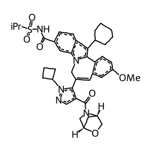 COc1ccc2c(c1)C=C(c1c(C(=O)N3C[C@@H]4C[C@H]3CO4)cnn1C1CCC1)Cn1c-2c(C2CCCCC2)c2ccc(C(=O)NS(=O)(=O)C(C)C)cc21